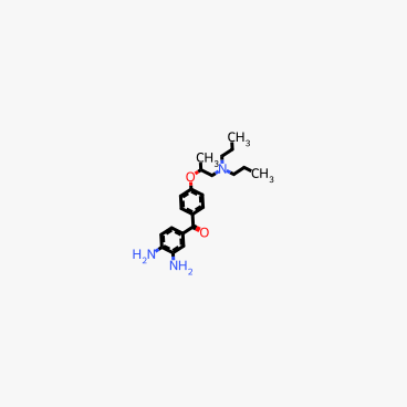 CCCN(CCC)CC(C)Oc1ccc(C(=O)c2ccc(N)c(N)c2)cc1